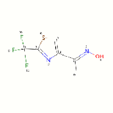 CC(=NO)c1csc(C(F)(F)F)n1